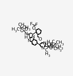 CC(C)(C)OC(=O)N[C@@H]1CC(c2c(C=O)cccc2OC(F)F)n2c1nc1ccc(-c3cnc(C(C)(C)O[Si](C)(C)C(C)(C)C)nc3)cc12